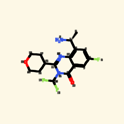 C[C@@H](N)c1cc(F)cc2c(=O)n(C(F)F)c(C3CCOCC3)nc12